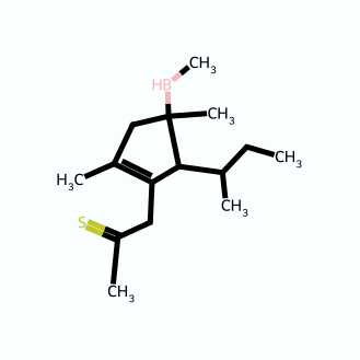 CBC1(C)CC(C)=C(CC(C)=S)C1C(C)CC